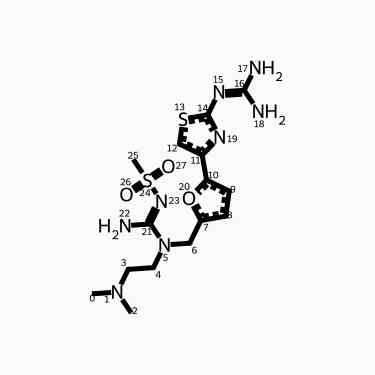 CN(C)CCN(Cc1ccc(-c2csc(N=C(N)N)n2)o1)C(N)=NS(C)(=O)=O